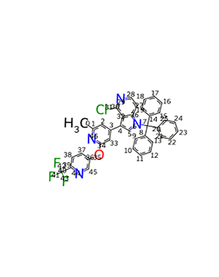 Cc1cc(-c2cn(C(c3ccccc3)(c3ccccc3)c3ccccc3)c3ccnc(Cl)c23)cc(Oc2ccc(C(F)(F)F)nc2)n1